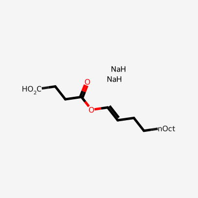 CCCCCCCCCCC=COC(=O)CCC(=O)O.[NaH].[NaH]